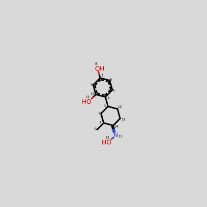 CC1CC(c2ccc(O)cc2O)CC/C1=N/O